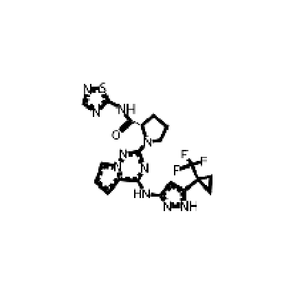 O=C(Nc1ncns1)[C@@H]1CCCN1c1nc(Nc2cc(C3(C(F)(F)F)CC3)[nH]n2)c2cccn2n1